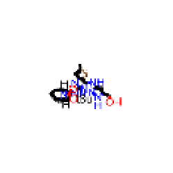 Cc1cc2nc(N[C@@H]3C[C@H]4CCC[C@@H](C3)N4C(=O)OC(C)(C)C)nc(Nc3cc(CO)[nH]n3)c2s1